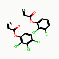 C=CC(=O)Oc1ccc(Cl)c(Cl)c1Cl.C=CC(=O)Oc1cccc(Cl)c1Cl